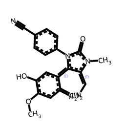 C=c1cc(OC)c(O)c/c1=c1/c(=C\N)n(C)c(=O)n1-c1ccc(C#N)cc1